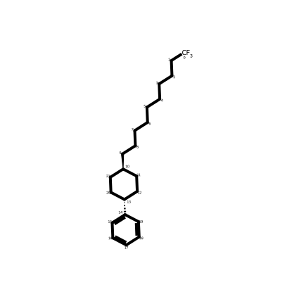 FC(F)(F)CCCCCCCCC[C@H]1CC[C@H](c2ccccc2)CC1